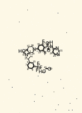 CN(C)[C@]1(CCc2cccc(C(F)(F)F)c2)CN(c2cc(F)c(S(=O)(=O)Nc3ccncn3)c(F)c2)CC[C@H]1O.O=CO